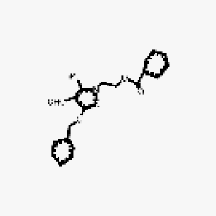 CC(C)c1c(C=O)c(OCc2ccccc2)nn1CCOC(=O)c1ccccc1